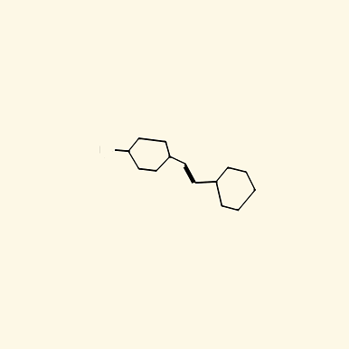 BC1CCC(C=CC2CCCCC2)CC1